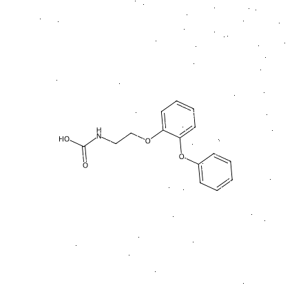 O=C(O)NCCOc1ccccc1Oc1ccccc1